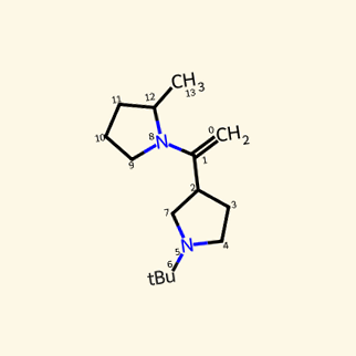 C=C(C1CCN(C(C)(C)C)C1)N1CCCC1C